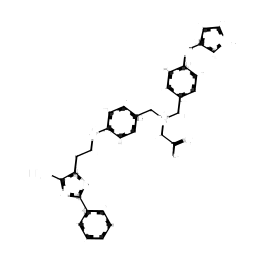 Cc1oc(-c2ccccc2)nc1CCOc1ccc(CN(CC(=O)O)Cc2ccc(Oc3ccsc3)cc2)cc1